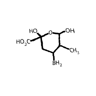 BC1CC(O)(C(=O)O)OC(O)C1C